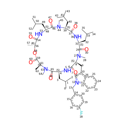 CC(C)C[C@@H]1NC(=O)[C@H](Cc2cn(Cc3ccc(F)cc3)c3ccccc23)N(C)C(=O)[C@H](CC(C)C)NC(=O)[C@H](CC(C)C)N(C)C(=O)[C@H](CC(C)C)NC(=O)[C@@H](C)OC(=O)[C@H](C)N(C)C1=O